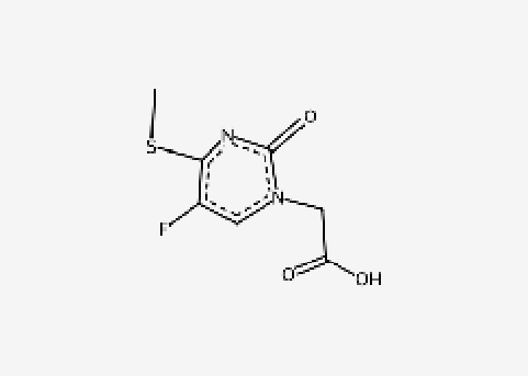 CSc1nc(=O)n(CC(=O)O)cc1F